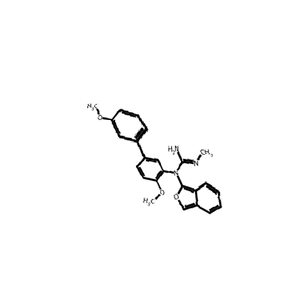 CN=C(N)N(c1cc(-c2cccc(OC)c2)ccc1OC)c1occ2ccccc12